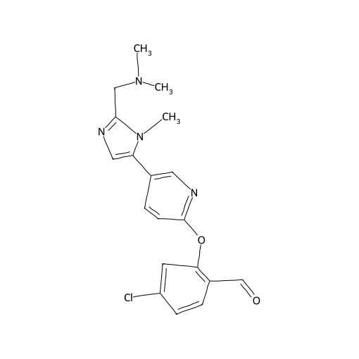 CN(C)Cc1ncc(-c2ccc(Oc3cc(Cl)ccc3C=O)nc2)n1C